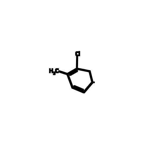 CC1=C(Cl)C[CH]C=C1